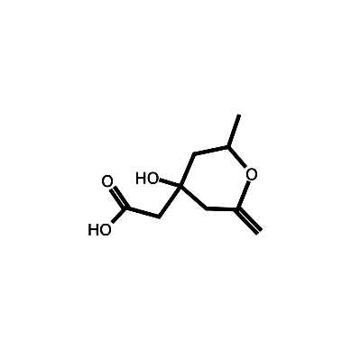 C=C1CC(O)(CC(=O)O)CC(C)O1